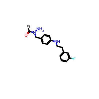 CCC(=O)N(N)Cc1ccc(NCCc2cccc(F)c2)cc1